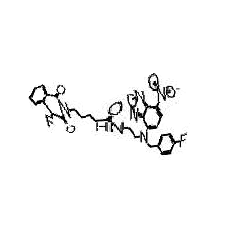 O=C(CCCCN1C(=O)c2ccccc2C(F)C1=O)NCCN(Cc1ccc(F)cc1)c1ccc([N+](=O)[O-])c2nonc12